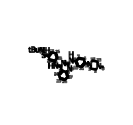 CN1CCN(c2ccc(Nc3nc(Nc4cccc(SNC(C)(C)C)c4)c4ccccc4n3)cc2)CC1